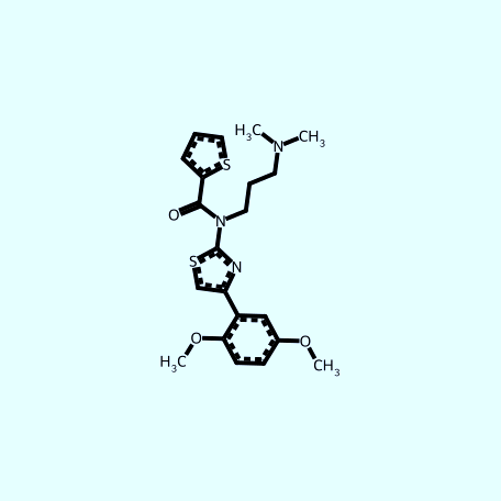 COc1ccc(OC)c(-c2csc(N(CCCN(C)C)C(=O)c3cccs3)n2)c1